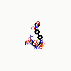 CS(=O)(=O)C(c1nnc(C[C@H]2NS(=O)(=O)NC2=O)o1)c1nc2ccc(-c3ccc(C(=O)N4CCOCC4)cc3)cc2s1